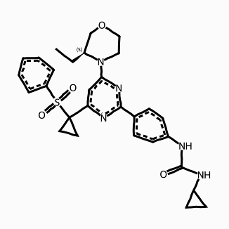 CC[C@H]1COCCN1c1cc(C2(S(=O)(=O)c3ccccc3)CC2)nc(-c2ccc(NC(=O)NC3CC3)cc2)n1